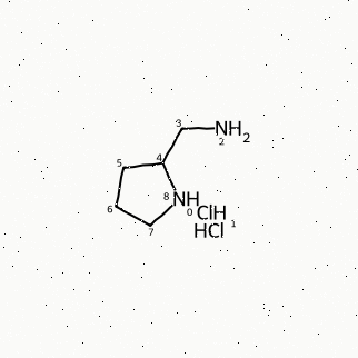 Cl.Cl.NCC1CCCN1